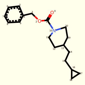 O=C(OCc1ccccc1)N1CCC(CCC2CC2)CC1